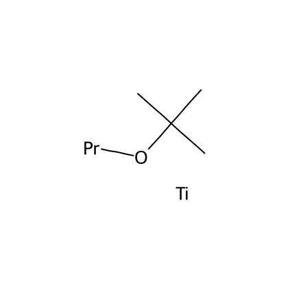 CC(C)(C)[O][Pr].[Ti]